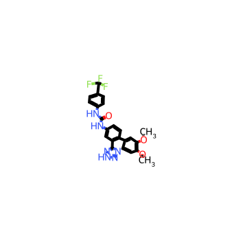 COc1ccc(-c2ccc(NC(=O)Nc3ccc(C(F)(F)F)cc3)cc2-c2nn[nH]n2)cc1OC